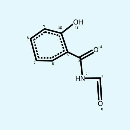 O=CNC(=O)c1ccccc1O